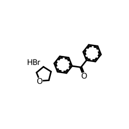 Br.C1CCOC1.O=C(c1ccccc1)c1ccccc1